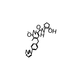 COc1nc(C(=O)N[C@H]2CCC[C@@H]2O)cc(Cc2ccc(-n3cccn3)cc2)c1C